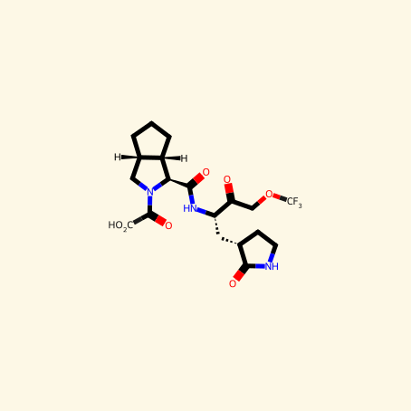 O=C(O)C(=O)N1C[C@@H]2CCC[C@@H]2[C@H]1C(=O)N[C@@H](C[C@@H]1CCNC1=O)C(=O)COC(F)(F)F